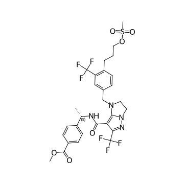 COC(=O)c1ccc([C@H](C)NC(=O)c2c(C(F)(F)F)nn3c2N(Cc2ccc(CCCOS(C)(=O)=O)c(C(F)(F)F)c2)CC3)cc1